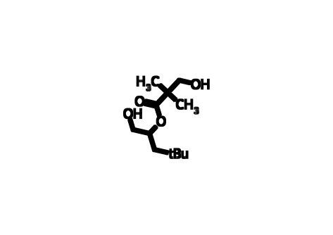 CC(C)(C)CC(CO)OC(=O)C(C)(C)CO